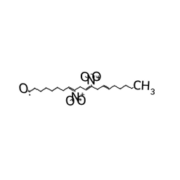 CCCCC/C=C/C/C(=C/C/C(=C/CCCCCC[C]=O)[N+](=O)[O-])[N+](=O)[O-]